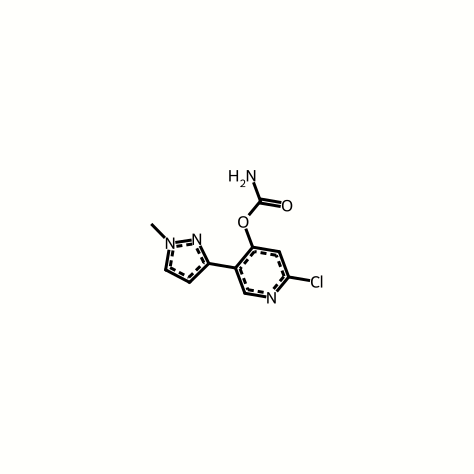 Cn1ccc(-c2cnc(Cl)cc2OC(N)=O)n1